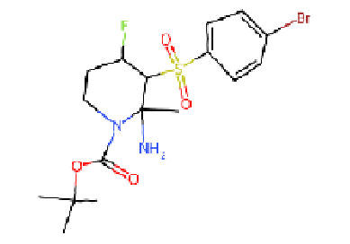 CC(C)(C)OC(=O)N1CCC(F)C(S(=O)(=O)c2ccc(Br)cc2)C1(C)N